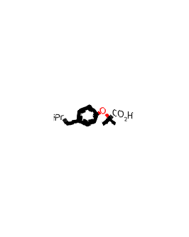 CC(C)Cc1ccc(OC(C)(C)C(=O)O)cc1